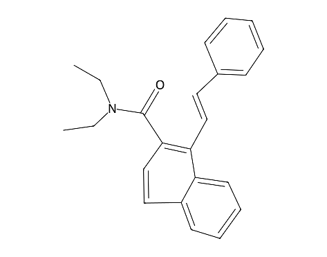 CCN(CC)C(=O)c1ccc2ccccc2c1C=Cc1ccccc1